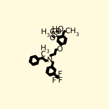 CC(O)c1ccc(OCCCN(Cc2cccc(C(F)(F)F)c2)CC(C)c2ccccc2)cc1S(C)(=O)=O